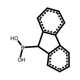 OB(O)C1c2ccccc2-c2ccccc21